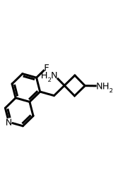 NC1CC(N)(Cc2c(F)ccc3cnccc23)C1